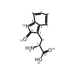 N[C@@H](CC1=c2ccccc2=NC1=O)C(=O)O